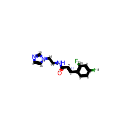 O=C(/C=C/c1ccc(F)cc1F)NCCn1ccnc1